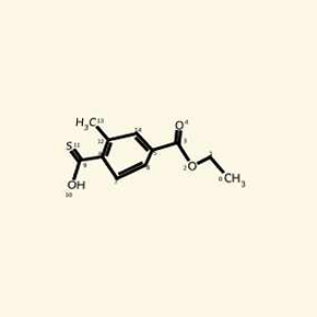 CCOC(=O)c1ccc(C(O)=S)c(C)c1